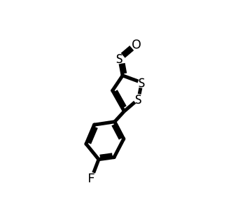 O=S=c1cc(-c2ccc(F)cc2)ss1